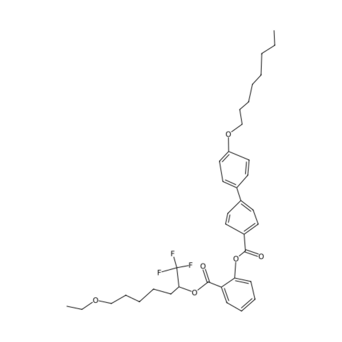 CCCCCCCCOc1ccc(-c2ccc(C(=O)Oc3ccccc3C(=O)OC(CCCCCOCC)C(F)(F)F)cc2)cc1